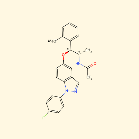 COc1ccccc1[C@H](Oc1ccc2c(cnn2-c2ccc(F)cc2)c1)[C@H](C)NC(=O)C(F)(F)F